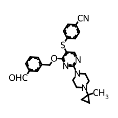 CC1(N2CCN(c3ncc(Sc4ccc(C#N)cc4)c(OCc4cccc(C=O)c4)n3)CC2)CC1